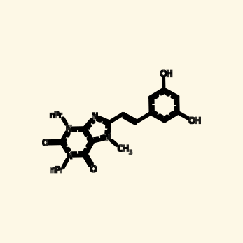 CCCn1c(=O)c2c(nc(C=Cc3cc(O)cc(O)c3)n2C)n(CCC)c1=O